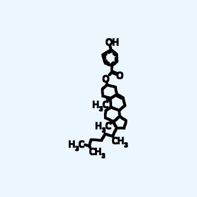 CC(C)CCCC(C)C1CCC2C3CC=C4CC(OC(=O)c5ccc(O)cc5)CC[C@]4(C)C3CC[C@]12C